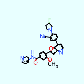 COc1cc(C(=O)NC2CN3CCC2CC3)ccc1-c1cc2nccc(-c3ccc(N4CCC(F)C4)c(C#N)c3)c2o1